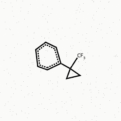 FC(F)(F)C1(c2ccccc2)CC1